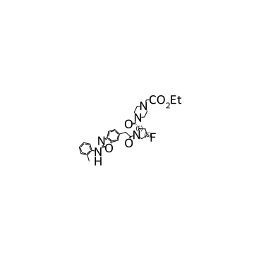 CCOC(=O)CN1CCN(C(=O)[C@@H]2C[C@H](F)CN2C(=O)Cc2ccc3nc(Nc4ccccc4C)oc3c2)CC1